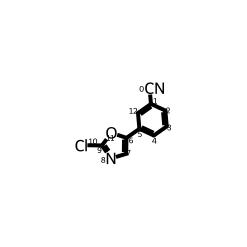 N#Cc1cccc(-c2cnc(Cl)o2)c1